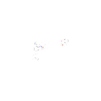 CCCC(=O)OCc1ccc(N(C)C)c(NC(=O)CCCCCCCCS(=O)(=O)c2ccccc2)c1